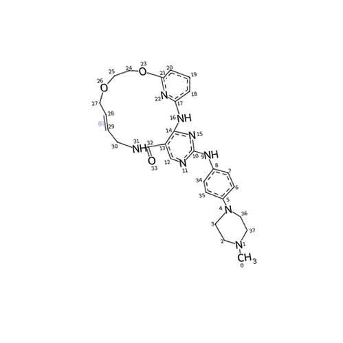 CN1CCN(c2ccc(Nc3ncc4c(n3)Nc3cccc(n3)OCCOC/C=C/CNC4=O)cc2)CC1